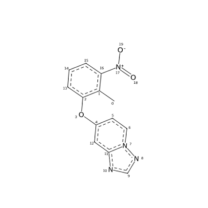 Cc1c(Oc2ccn3ncnc3c2)cccc1[N+](=O)[O-]